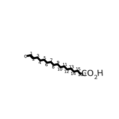 CC=CCCCCCCCCCCCCCCC(=O)O